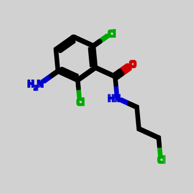 Nc1ccc(Cl)c(C(=O)NCCCCl)c1Cl